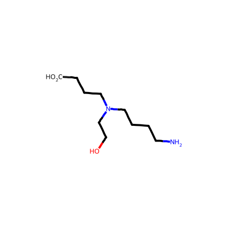 NCCCCN(CCO)CCCC(=O)O